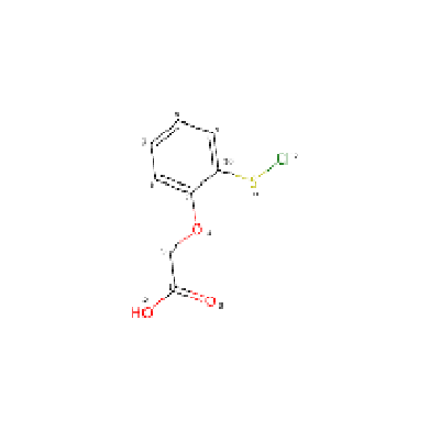 O=C(O)COc1ccccc1SCl